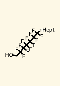 CCCCCCCC(F)(F)C(F)(F)C(F)(F)C(F)(F)C(F)(F)C(F)(F)CO